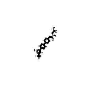 COC(=O)CN(C)C(=O)CC1CCC(c2ccc(-c3cc(C(F)(F)F)n[nH]3)cc2)CC1